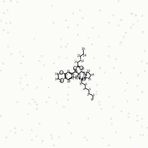 CCCCCCCC(=O)N[C@H](CN1CCCC1)[C@H](OC(=O)CCCCC)c1ccc2c(c1)OCCO2